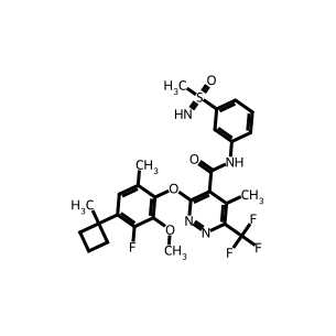 COc1c(F)c(C2(C)CCC2)cc(C)c1Oc1nnc(C(F)(F)F)c(C)c1C(=O)Nc1cccc(S(C)(=N)=O)c1